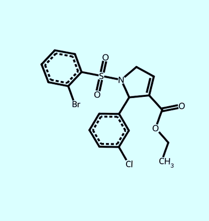 CCOC(=O)C1=CCN(S(=O)(=O)c2ccccc2Br)C1c1cccc(Cl)c1